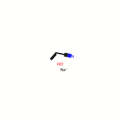 C=CC#N.[Na+].[OH-]